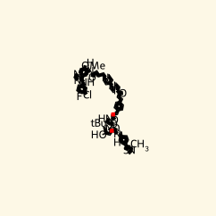 COc1cc2ncnc(Nc3ccc(F)c(Cl)c3)c2cc1NC(=O)/C=C/CN1CCC(N2CCN(C(=O)CCc3ccc(CCC(=O)N[C@H](C(=O)N4C[C@H](O)C[C@H]4C(=O)NCc4ccc(-c5scnc5C)cc4)C(C)(C)C)cc3)CC2)CC1